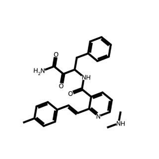 CNC.Cc1ccc(C=Cc2ncccc2C(=O)NC(Cc2ccccc2)C(=O)C(N)=O)cc1